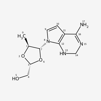 C[C@@H]1O[C@@H](CO)O[C@H]1n1ccc2c1NCN=C2N